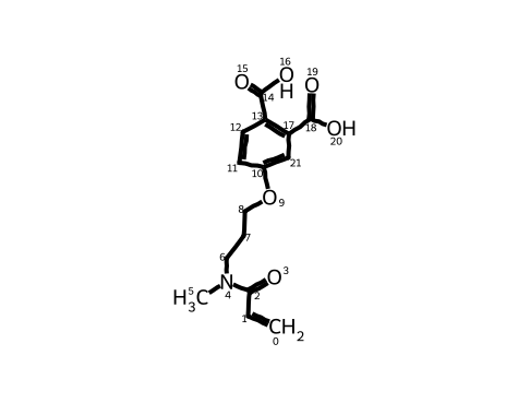 C=CC(=O)N(C)CCCOc1ccc(C(=O)O)c(C(=O)O)c1